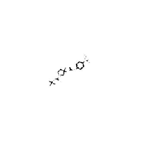 CC(C)(C)OC(=O)N1CCC(C)(OC(=O)Oc2ccc([N+](=O)[O-])cc2)C1